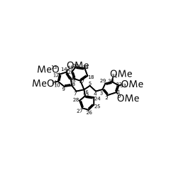 COc1cc(CCC(Cc2cc(OC)c(OC)c(OC)c2)(c2ccccc2)c2ccccc2)cc(OC)c1OC